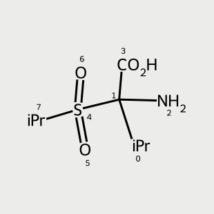 CC(C)C(N)(C(=O)O)S(=O)(=O)C(C)C